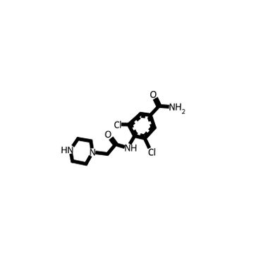 NC(=O)c1cc(Cl)c(NC(=O)CN2CCNCC2)c(Cl)c1